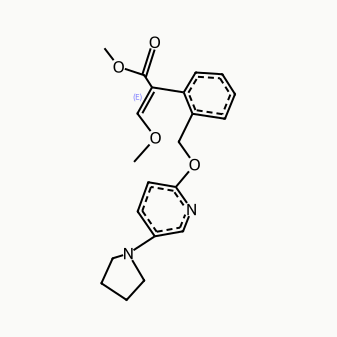 CO/C=C(/C(=O)OC)c1ccccc1COc1ccc(N2CCCC2)cn1